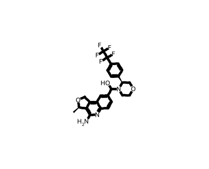 C[C@H]1OCc2c1c(N)nc1ccc(C(O)N3CCOC[C@@H]3c3ccc(C(F)(F)C(F)(F)F)cc3)cc21